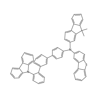 CC1(C)c2ccccc2-c2ccc(N(c3ccc(-c4cccc(-c5ccccc5-n5c6ccccc6c6ccccc65)c4)cc3)c3ccc4sc5ccccc5c4c3)cc21